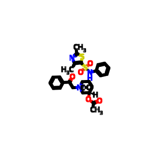 CC(=O)O[C@H]1C[N+]2(CC(=O)c3ccccc3)CCC1CC2.Cc1nc(C)c(S(=O)(=O)Nc2ccccc2)s1